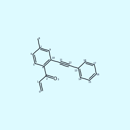 C=CC(=O)c1ccc(C)cc1C#Cc1ccccc1